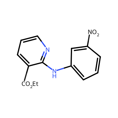 CCOC(=O)c1cccnc1Nc1cccc([N+](=O)[O-])c1